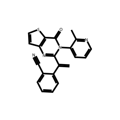 C=C(c1ccccc1C#N)c1nc2ccsc2c(=O)n1-c1cccnc1C